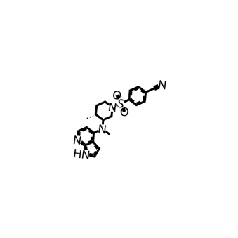 C[C@@H]1CCN(S(=O)(=O)c2ccc(C#N)cc2)CC1N(C)c1ccnc2[nH]ccc12